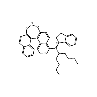 CCCCC(CCCC)N(c1cccc2c1ccc1o[pH]oc3ccc4ccccc4c3c12)[C@H]1CCc2ccccc21